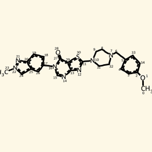 COc1ccc(CN2CCN(c3nc4ncn(-c5ccc6nn(C)cc6c5)c(=O)c4s3)CC2)cc1